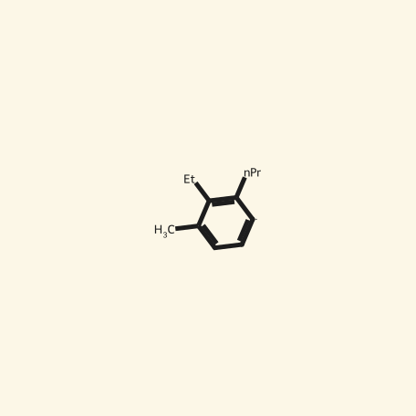 CCCc1[c]ccc(C)c1CC